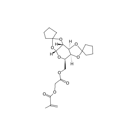 C=C(C)C(=O)OCC(=O)OC[C@H]1O[C@@H]2OC3(CCCC3)O[C@@H]2[C@H]2OC3(CCCC3)O[C@H]21